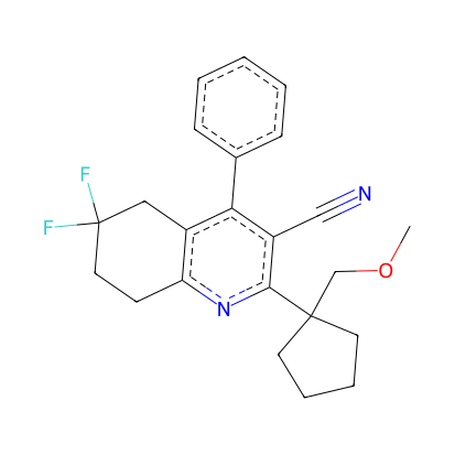 COCC1(c2nc3c(c(-c4ccccc4)c2C#N)CC(F)(F)CC3)CCCC1